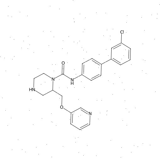 O=C(Nc1ccc(-c2cccc(Cl)c2)cc1)N1CCNCC1COc1cccnc1